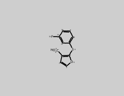 O=C(O)c1ccoc1Sc1cccc(F)c1